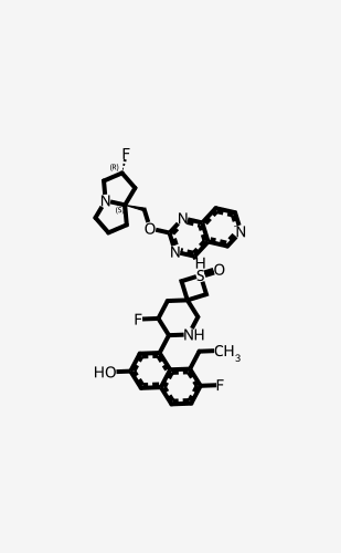 CCc1c(F)ccc2cc(O)cc(C3NCC4(CC3F)C[SH](=O)(c3nc(OC[C@@]56CCCN5C[C@H](F)C6)nc5ccncc35)C4)c12